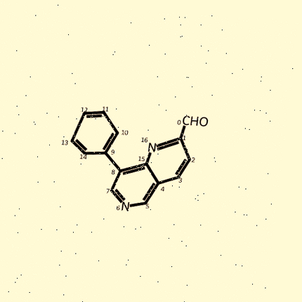 O=Cc1ccc2cncc(-c3ccccc3)c2n1